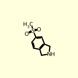 CS(=O)(=O)c1ccc2c(c1)CNC2